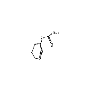 CC(C)(C)C(=O)OC1C=CCCC1